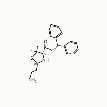 CC1(C)S[C@H](CCN)N[C@H]1C(=O)OC(c1ccccc1)c1ccccc1